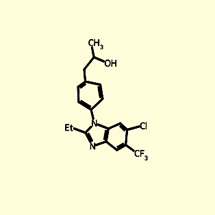 CCc1nc2cc(C(F)(F)F)c(Cl)cc2n1-c1ccc(CC(C)O)cc1